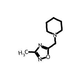 Cc1noc(CN2CCCCC2)n1